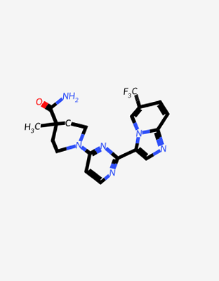 CC1(C(N)=O)CCN(c2ccnc(-c3cnc4ccc(C(F)(F)F)cn34)n2)CC1